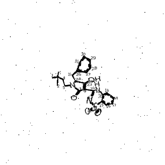 CC(C)(C)CCN1C(=O)C(C2=NS(=O)(=O)c3ccccc3N2)=C(O)[C@@H]1Cc1ccccc1